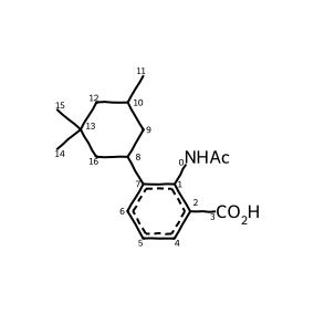 CC(=O)Nc1c(C(=O)O)cccc1C1CC(C)CC(C)(C)C1